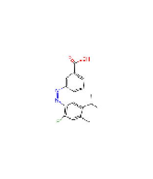 Cc1cc(F)c(/N=N\c2cccc(C(=O)O)c2)cc1C(C)C